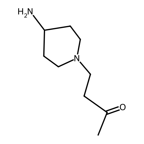 CC(=O)CCN1CCC(N)CC1